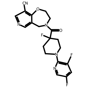 N#Cc1cncc2c1OCCN(C(=O)C1(F)CCN(c3ncc(F)cc3F)CC1)C2